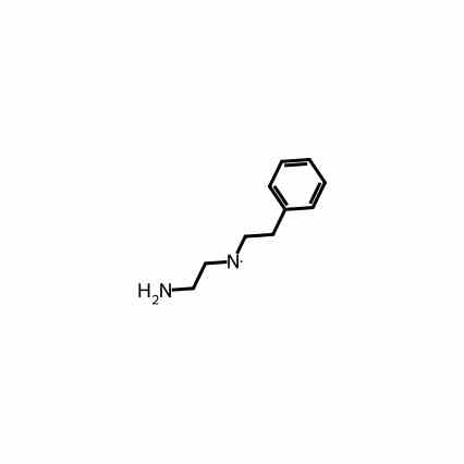 NCC[N]CCc1ccccc1